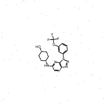 O[C@H]1CC[C@@H](Nc2ccc3nnn(-c4cccc(OC(F)(F)F)c4)c3n2)CC1